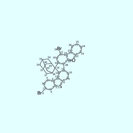 Brc1ccc2c(c1)sc1ccc3c(c12)C1(c2cc(Br)c4c(oc5ccccc54)c2-3)C2CC3CC(C2)CC1C3